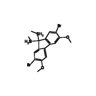 COc1cc2c(cc1Br)C([SiH2]C)([SiH2]C)c1cc(Br)c(OC)cc1-2